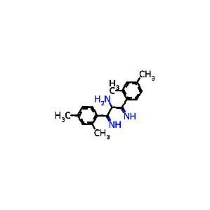 Cc1ccc(C(=N)C(N)C(=N)c2ccc(C)cc2C)c(C)c1